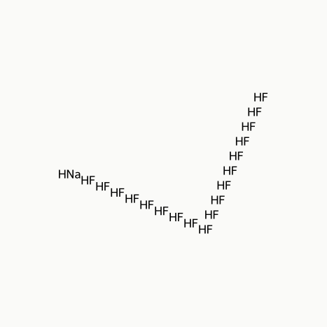 F.F.F.F.F.F.F.F.F.F.F.F.F.F.F.F.F.F.[NaH]